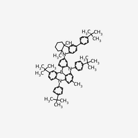 Cc1cc2c3c(c1)N(c1ccc(C(C)(C)C)cc1)c1cc(N4c5ccc(-c6ccc(C(C)(C)C)cc6)cc5C5(C)CCCCC45C)ccc1B3c1cc(C(C)(C)C)ccc1N2c1ccc(C(C)(C)C)cc1